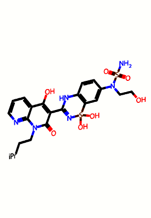 CC(C)CCn1c(=O)c(C2=NS(O)(O)c3cc(N(CCO)S(N)(=O)=O)ccc3N2)c(O)c2cccnc21